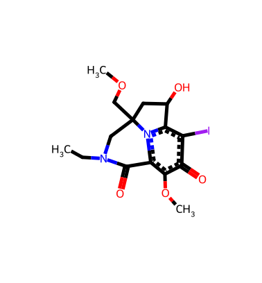 CCN1CC2(COC)CC(O)c3c(I)c(=O)c(OC)c(n32)C1=O